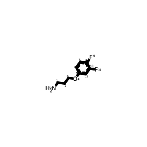 NCCCOc1ccc(F)c(F)c1